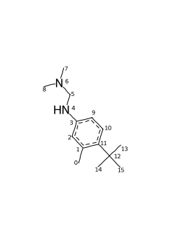 Cc1cc(NCN(C)C)ccc1C(C)(C)C